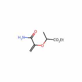 C=C(OC(C)C(=O)OCC)C(N)=O